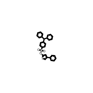 O=S(=O)(Oc1cc(-c2ccccc2)cs1)c1ccc(C(c2ccccc2)c2ccccc2)cc1